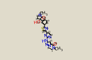 CN1CCn2nc(Nc3nccc(-c4csc(-c5cccc([C@]6(O)CCN(C)C6=O)c5)n4)n3)cc2C1=O